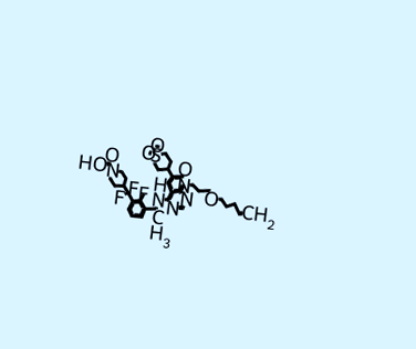 C=CCCCOCCCn1c(=O)c(C2CCS(=O)(=O)CC2)cc2c(NC(C)c3cccc(C(F)(F)C4CCN(C(=O)O)CC4)c3F)ncnc21